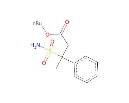 CCCCOC(=O)CC(C)(c1ccccc1)S(N)(=O)=O